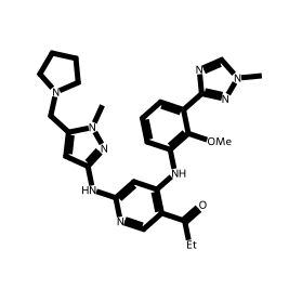 CCC(=O)c1cnc(Nc2cc(CN3CCCC3)n(C)n2)cc1Nc1cccc(-c2ncn(C)n2)c1OC